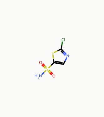 NS(=O)(=O)c1cnc(Cl)s1